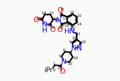 CC(C)CC(=O)N1CCC(n2cc(CNc3cccc4c3C(=O)N(C3CCC(=O)NC3=O)C4=O)cn2)CC1